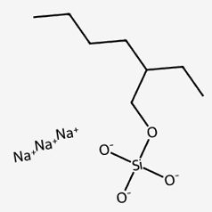 CCCCC(CC)CO[Si]([O-])([O-])[O-].[Na+].[Na+].[Na+]